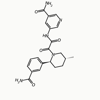 C[C@@H]1CC[C@@H](c2cccc(C(N)=O)c2)N(C(=O)C(=O)Nc2cncc(C(N)=O)c2)C1